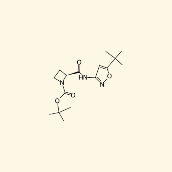 CC(C)(C)OC(=O)N1CC[C@H]1C(=O)Nc1cc(C(C)(C)C)on1